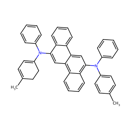 CC1=CC=C(N(c2ccccc2)c2cc3c4ccccc4c(N(c4ccccc4)c4ccc(C)cc4)cc3c3ccccc23)CC1